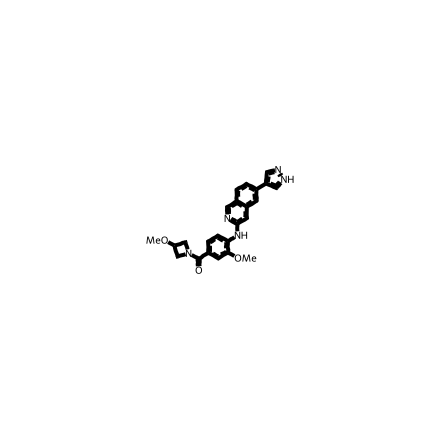 COc1cc(C(=O)N2CC(OC)C2)ccc1Nc1cc2cc(-c3cn[nH]c3)ccc2cn1